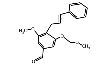 COCOc1cc(C=O)cc(OC)c1C/C=C/c1ccccc1